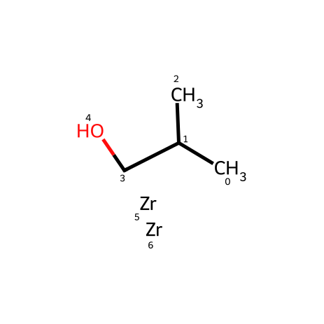 CC(C)CO.[Zr].[Zr]